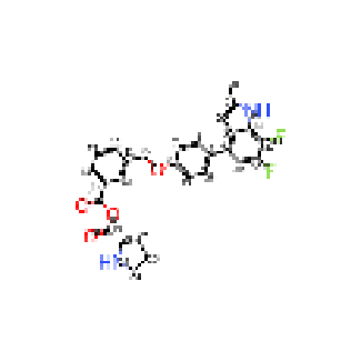 Cc1cc2c(-c3ccc(OCc4cccc(C(=O)OC(=O)[C@@H]5CCCN5)c4)cc3)cc(F)c(F)c2[nH]1